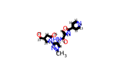 Cn1cc(NC(=O)c2coc(-c3c[c]ncc3)n2)c(N2CC(C=O)CC2=O)n1